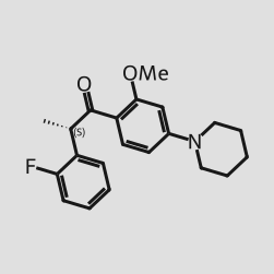 COc1cc(N2CCCCC2)ccc1C(=O)[C@@H](C)c1ccccc1F